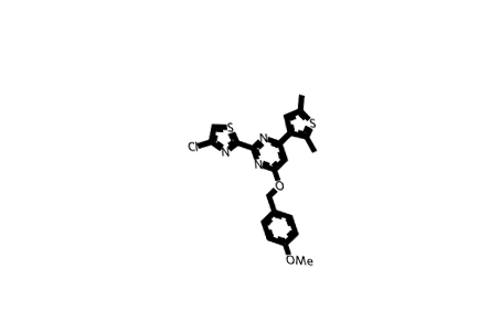 COc1ccc(COc2cc(-c3cc(C)sc3C)nc(-c3nc(Cl)cs3)n2)cc1